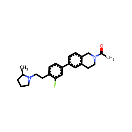 CC(=O)N1CCc2cc(-c3ccc(CCN4CCC[C@H]4C)c(F)c3)ccc2C1